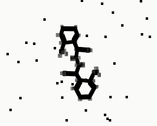 O=C(NNC(=O)c1ccccc1C(F)(F)F)c1ccccc1C(F)(F)F